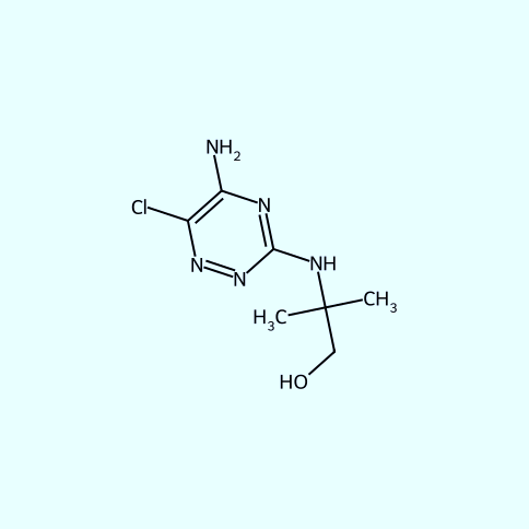 CC(C)(CO)Nc1nnc(Cl)c(N)n1